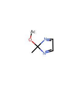 CC(=O)OC1(C)N=CC=N1